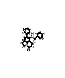 O=C(Nc1c(-c2cccnc2)cc2c3c1CCC(=O)N3CC2)c1ccccc1